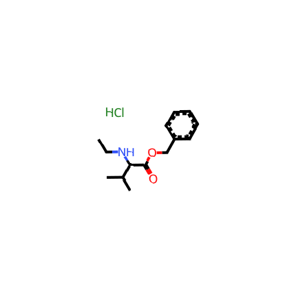 CCNC(C(=O)OCc1ccccc1)C(C)C.Cl